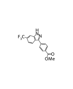 COC(=O)c1ccc(-c2n[nH]c3cc(C(F)(F)F)ccc23)cc1